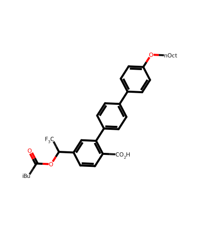 CCCCCCCCOc1ccc(-c2ccc(-c3cc(C(OC(=O)C(C)CC)C(F)(F)F)ccc3C(=O)O)cc2)cc1